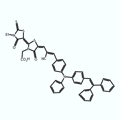 CCN1C(=O)/C(=c2/s/c(=C/C(C#N)=C/c3ccc(N(c4ccccc4)c4ccc(C=C(c5ccccc5)c5ccccc5)cc4)cc3)c(=O)n2CC(=O)O)SC1=S